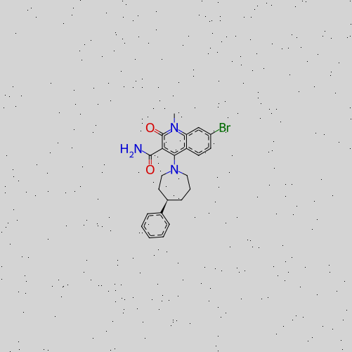 Cn1c(=O)c(C(N)=O)c(N2CCC[C@@H](c3ccccc3)CC2)c2ccc(Br)cc21